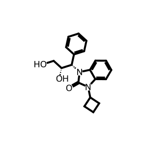 O=c1n(C2CCC2)c2ccccc2n1[C@@H](c1ccccc1)[C@H](O)CO